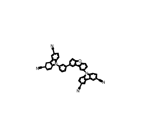 N#Cc1ccc2c(c1)c1c(n2-c2cccc(-c3ccc4oc5ccc(-n6c7ccc(C#N)cc7c7cc(C#N)ccc76)cc5c4c3)c2)C=CC(C#N)C1